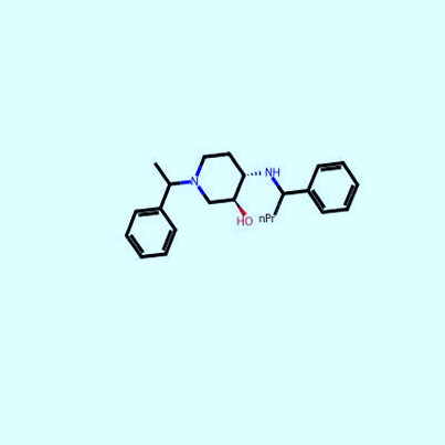 CCCC(N[C@H]1CCN(C(C)c2ccccc2)C[C@@H]1O)c1ccccc1